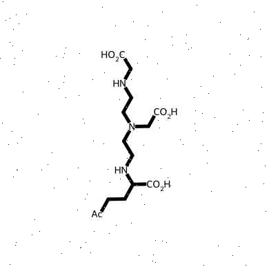 CC(=O)CCC(NCCN(CCNCC(=O)O)CC(=O)O)C(=O)O